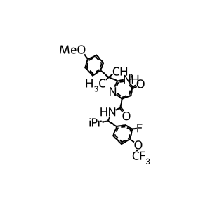 COc1ccc(C(C)(C)c2nc(C(=O)N[C@@H](c3ccc(OC(F)(F)F)c(F)c3)C(C)C)cc(=O)[nH]2)cc1